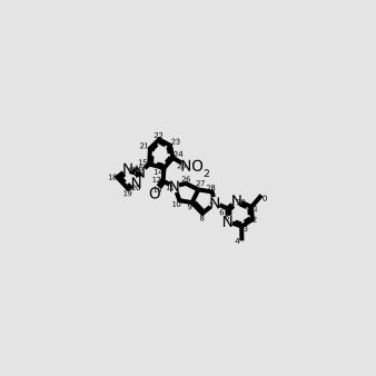 Cc1cc(C)nc(N2C=C3CN(C(=O)c4c(-n5nccn5)cccc4[N+](=O)[O-])CC3C2)n1